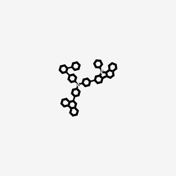 c1ccc(-c2ccccc2-c2ccc(N(c3ccc(-c4ccc5c6ccc7ccccc7c6n(-c6ccccc6)c5c4)cc3)c3ccc(-c4cc5ccccc5c5ccccc45)cc3)cc2)cc1